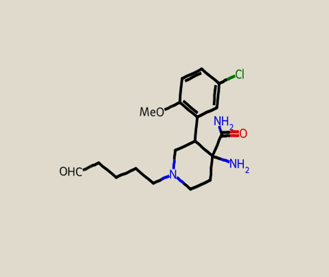 COc1ccc(Cl)cc1C1CN(CCCCC=O)CCC1(N)C(N)=O